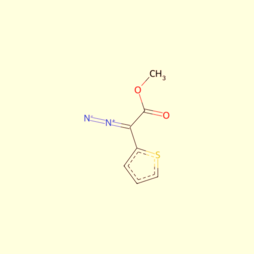 COC(=O)C(=[N+]=[N-])c1cccs1